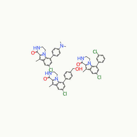 Cc1c2n(c3c(-c4ccc(CO)cc4)cc(Cl)cc13)CCNC2=O.Cc1c2n(c3c(-c4ccc(N(C)C)cc4)cc(Cl)cc13)CCNC2=O.Cc1c2n(c3c(-c4cccc(Cl)c4)cc(Cl)cc13)CCNC2=O